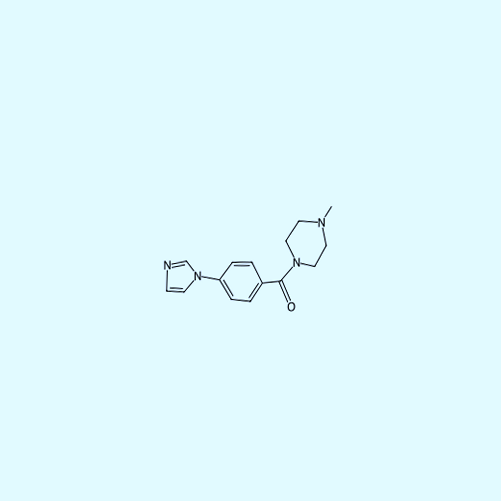 CN1CCN(C(=O)c2ccc(-n3ccnc3)cc2)CC1